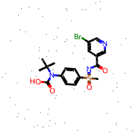 CC(C)(C)N(C(=O)O)c1ccc(S(C)(=O)=NC(=O)c2cncc(Br)c2)cc1